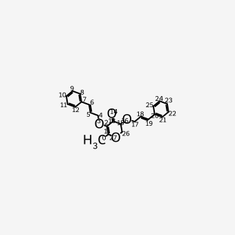 CC1=C(OCC=Cc2ccccc2)C(=O)C(OCC=Cc2ccccc2)CO1